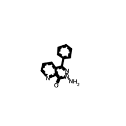 Nn1nc(-c2ccccc2)c2cccnc2c1=O